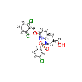 O=S(=O)(c1cccc(Cl)c1)N1C[C@H](CO)Cc2ccc(OCc3c(Cl)cccc3Cl)nc21